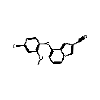 COc1cc(Cl)ccc1Oc1cccn2cc(C#N)cc12